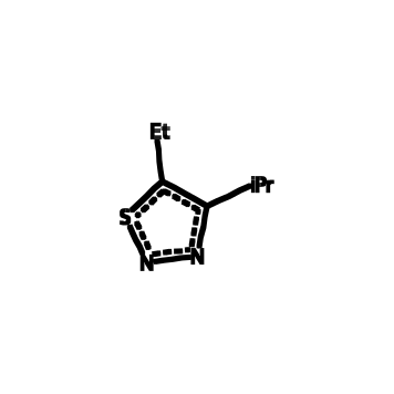 CCc1snnc1C(C)C